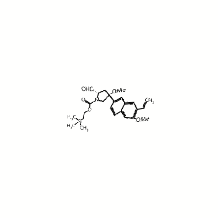 C=Cc1cc2cc([C@]3(OC)C[C@@H](C=O)N(C(=O)OCC[Si](C)(C)C)C3)ccc2cc1OC